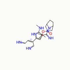 CNc1[nH]c(/C(C=N)=C/C=N)cc1C(=N)N1CC2CCC(C1)N2C(=O)OC(C)(C)C